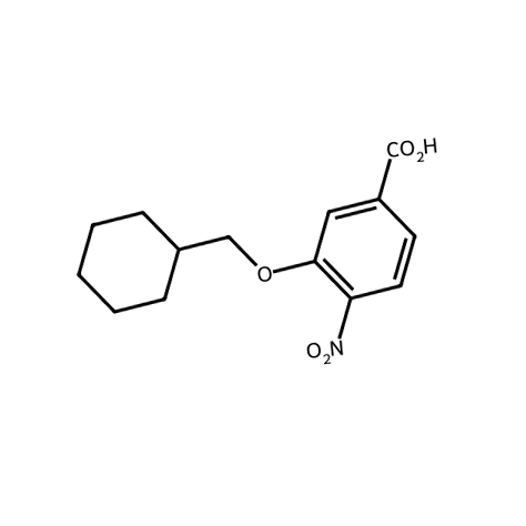 O=C(O)c1ccc([N+](=O)[O-])c(OCC2CCCCC2)c1